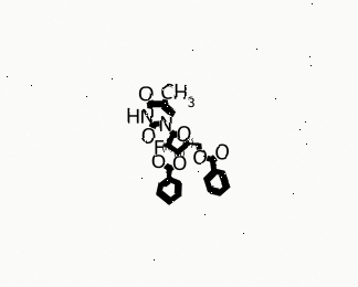 Cc1cn(C2O[C@@H](COC(=O)c3ccccc3)[C@H](OC(=O)c3ccccc3)[C@H]2F)c(=O)[nH]c1=O